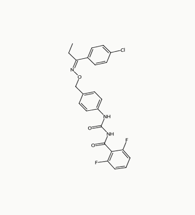 CC/C(=N/OCc1ccc(NC(=O)NC(=O)c2c(F)cccc2F)cc1)c1ccc(Cl)cc1